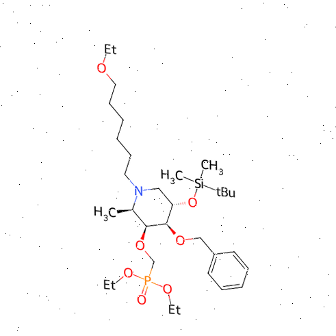 CCOCCCCCCN1C[C@H](O[Si](C)(C)C(C)(C)C)[C@@H](OCc2ccccc2)[C@@H](OCP(=O)(OCC)OCC)[C@H]1C